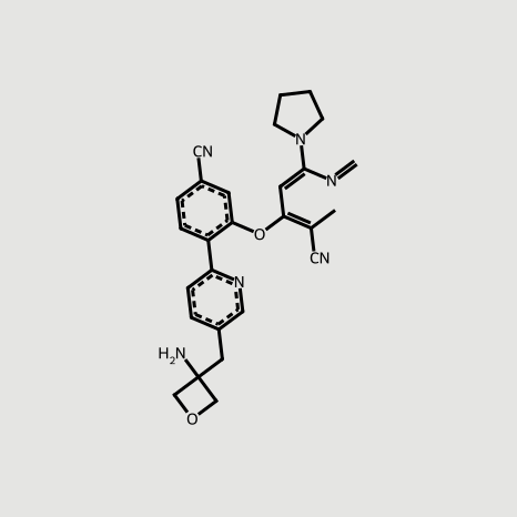 C=N/C(=C\C(Oc1cc(C#N)ccc1-c1ccc(CC2(N)COC2)cn1)=C(/C)C#N)N1CCCC1